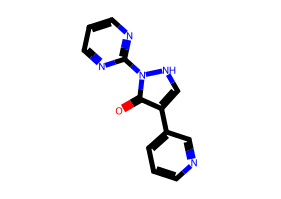 O=c1c(-c2cccnc2)c[nH]n1-c1ncccn1